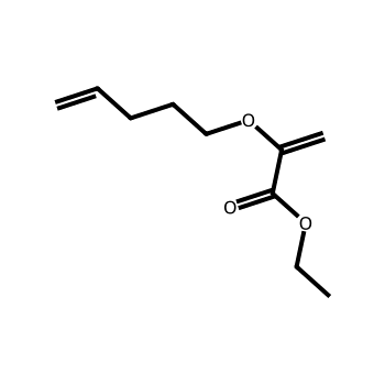 C=CCCCOC(=C)C(=O)OCC